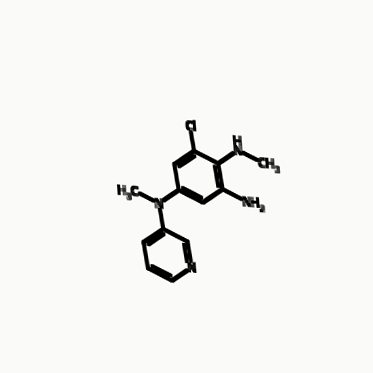 CNc1c(N)cc(N(C)c2cccnc2)cc1Cl